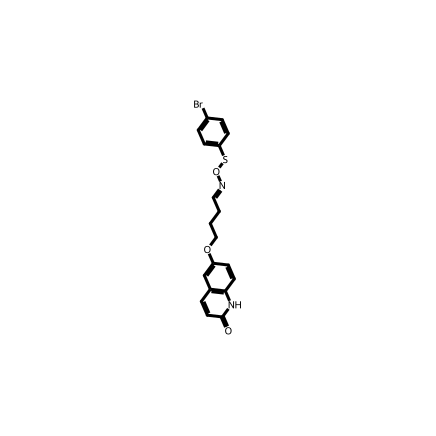 O=c1ccc2cc(OCCCC=NOSc3ccc(Br)cc3)ccc2[nH]1